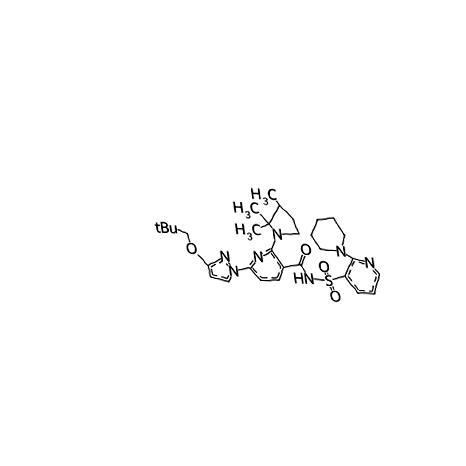 CC1CCN(c2nc(-n3ccc(OCC(C)(C)C)n3)ccc2C(=O)NS(=O)(=O)c2cccnc2N2CCCCC2)C1(C)C